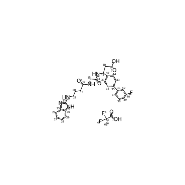 O=C(O)C(F)(F)F.O=C(O)CC(NC(=O)CNC(=O)CCCNc1nc2ccccc2[nH]1)c1ccc(-c2cccc(F)c2)cc1